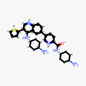 N[C@H]1CC[C@H](NC(=O)c2ccc(-c3ccc4ncc(-c5cccs5)c(N[C@H]5CC[C@H](N)CC5)c4c3)cn2)CC1